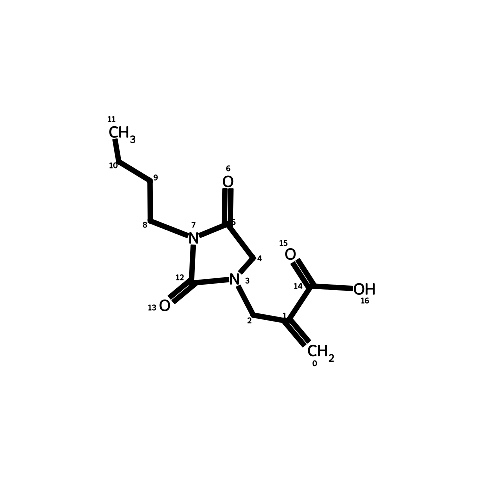 C=C(CN1CC(=O)N(CCCC)C1=O)C(=O)O